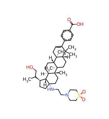 CC(CO)[C@@H]1CC[C@]2(NCCN3CCS(=O)(=O)CC3)CC[C@]3(C)[C@H](CC[C@@H]4[C@@]5(C)CC=C(c6ccc(C(=O)O)cc6)C(C)(C)[C@@H]5CC[C@]43C)[C@@H]12